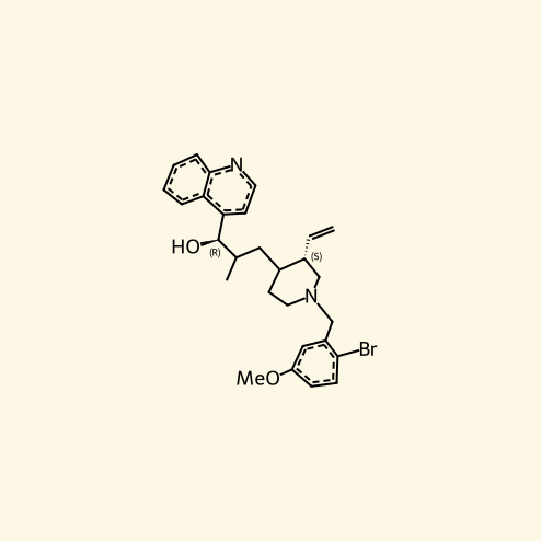 C=C[C@@H]1CN(Cc2cc(OC)ccc2Br)CCC1CC(C)[C@@H](O)c1ccnc2ccccc12